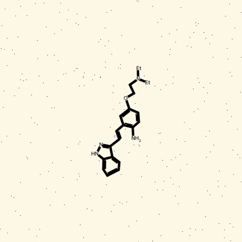 CCN(CC)CCOc1ccc(N)c(/C=C/c2n[nH]c3ccccc23)c1